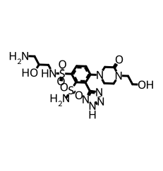 NCC(O)CNS(=O)(=O)c1ccc(N2CCN(CCO)C(=O)C2)c(-c2nn[nH]n2)c1S(N)(=O)=O